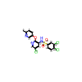 Cc1ccc(Oc2ncc(Cl)cc2NS(=O)(=O)c2ccc(Cl)c(Cl)c2)cn1